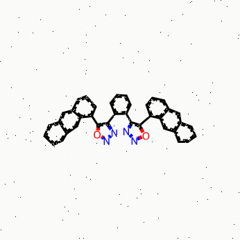 c1ccc(-c2nnoc2-c2cccc3cc4ccccc4cc23)c(-c2nnoc2-c2cccc3cc4ccccc4cc23)c1